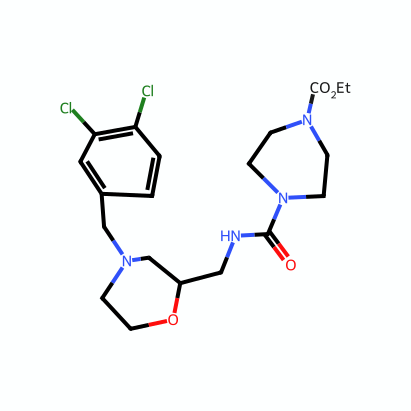 CCOC(=O)N1CCN(C(=O)NCC2CN(Cc3ccc(Cl)c(Cl)c3)CCO2)CC1